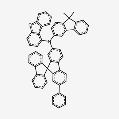 CC1(C)c2ccccc2-c2cc(N(c3ccc4c(c3)C3(c5ccccc5-c5ccccc53)c3cc(-c5ccccc5)ccc3-4)c3cccc4oc5ccccc5c34)ccc21